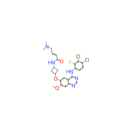 COc1cc2ncnc(Nc3ccc(Cl)c(Cl)c3F)c2cc1OC1CC(NC(=O)/C=C/CN(C)C)C1